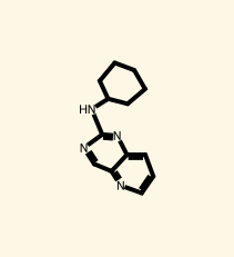 c1cnc2cnc(NC3CCCCC3)nc2c1